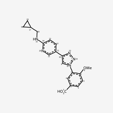 COc1ccc(C(=O)O)cc1-n1cc(-c2ccc(NCC3CC3)nc2)nn1